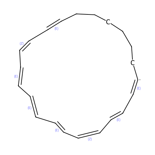 [C]1=C/C=C/C=C\C=C\C=C\C=C\C=C/C=C/CCCCCC/1